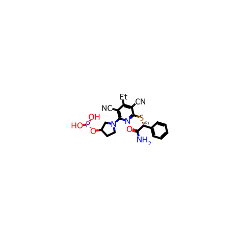 CCc1c(C#N)c(S[C@@H](C(N)=O)c2ccccc2)nc(N2CCC(OP(O)O)C2)c1C#N